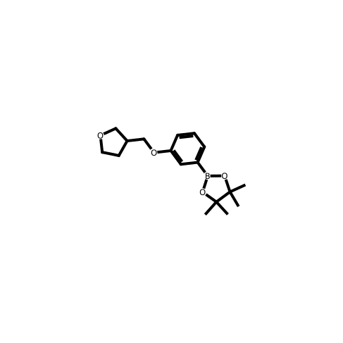 CC1(C)OB(c2cccc(OCC3CCOC3)c2)OC1(C)C